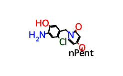 CCCCCOc1ccn(Cc2cc(O)c(N)cc2Cl)c(=O)c1